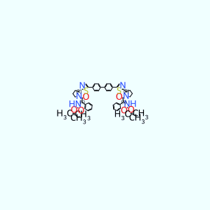 CC(C)(C)OC(=O)N[C@H](C(=O)N1CCC[C@@H]1c1ncc(-c2ccc(-c3ccc(-c4cnc([C@H]5CCCN5C(=O)[C@@H](NC(=O)OC(C)(C)C)c5ccccc5)s4)cc3)cc2)s1)c1ccccc1